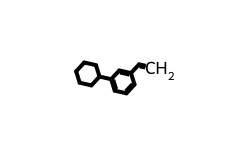 C=Cc1cccc(C2CCCCC2)c1